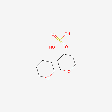 C1CCOCC1.C1CCOCC1.O=S(=O)(O)O